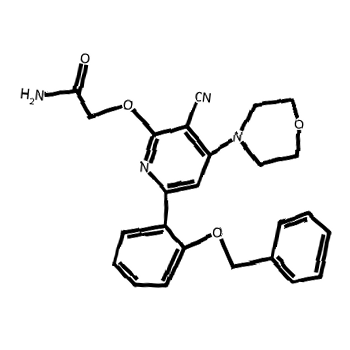 N#Cc1c(N2CCOCC2)cc(-c2ccccc2OCc2ccccc2)nc1OCC(N)=O